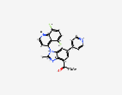 COC(=O)c1cc(-c2ccncc2)cc2c1nc(C)n2-c1ccnc2c(F)ccc(F)c12